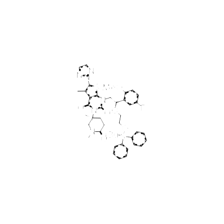 COc1ccc(F)cc1[C@H](Cn1c(=O)n([C@]2(C)CCC(=O)N(C)C2)c(=O)c2c(C)c(-n3nccn3)sc21)OCCO[Si](c1ccccc1)(c1ccccc1)C(C)(C)C